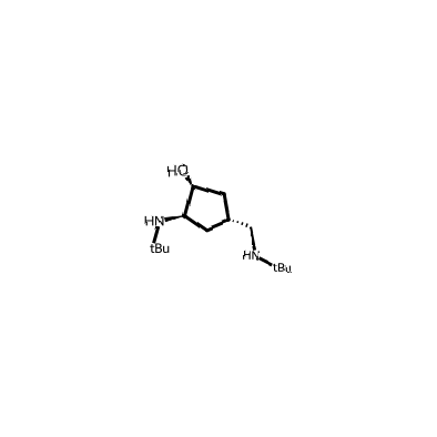 CC(C)(C)NC[C@H]1C[C@H](O)[C@H](NC(C)(C)C)C1